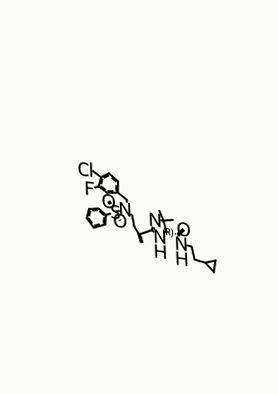 C=C(CCN(Cc1ccc(Cl)c(F)c1)S(=O)(=O)c1ccccc1)C1=NC(C)(C)[C@H](C(=O)NCCC2CC2)N1